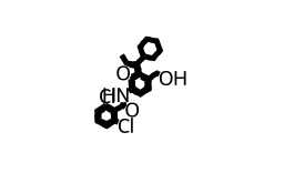 Cc1oc2c(NC(=O)c3c(Cl)cccc3Cl)ccc(CO)c2c1C1CCCCC1